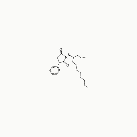 CCCCCCCCC(CCC)SN1C(=O)CC(c2ccccc2)C1=O